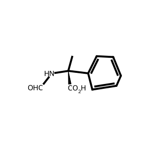 C[C@](NC=O)(C(=O)O)c1ccccc1